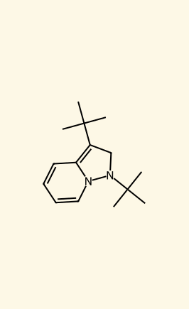 CC(C)(C)C1=C2C=CC=CN2N(C(C)(C)C)C1